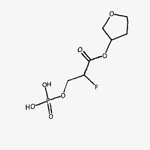 O=C(OC1CCOC1)C(F)COP(=O)(O)O